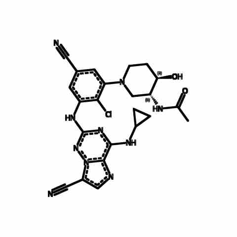 CC(=O)N[C@@H]1CN(c2cc(C#N)cc(Nc3nc(NC4CC4)c4ncc(C#N)n4n3)c2Cl)CC[C@H]1O